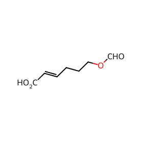 O=COCCCC=CC(=O)O